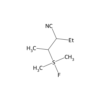 CCC(C#N)C(C)S(C)(C)F